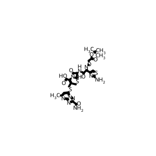 Cc1cc(SCC2=C(C(=O)O)N3C(=O)[C@@H](NC(=O)C(=NOCC(=O)OC(C)(C)C)c4csc(N)n4)[C@H]3SC2)n2nc(C(N)=O)nc2n1